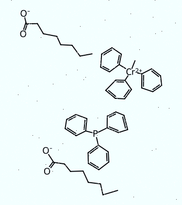 CCCCCCCC(=O)[O-].CCCCCCCC(=O)[O-].[CH3][Cr+2]([c]1ccccc1)([c]1ccccc1)[c]1ccccc1.c1ccc(P(c2ccccc2)c2ccccc2)cc1